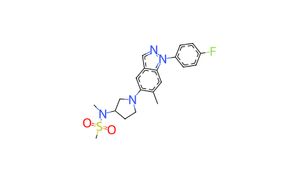 Cc1cc2c(cnn2-c2ccc(F)cc2)cc1N1CCC(N(C)S(C)(=O)=O)C1